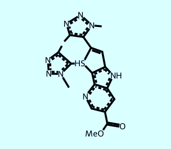 COC(=O)c1cnc2c3c([nH]c2c1)C=C(c1c(C)nnn1C)[SH]3c1c(C)nnn1C